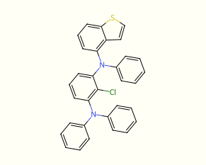 Clc1c(N(c2ccccc2)c2ccccc2)cccc1N(c1ccccc1)c1cccc2sccc12